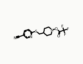 N#Cc1ccc(SCC2CCN(OC(=O)C(F)(F)F)CC2)nc1